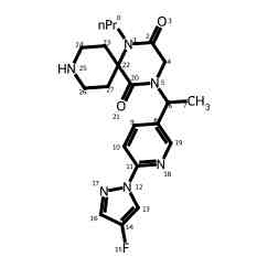 CCCN1C(=O)CN(C(C)c2ccc(-n3cc(F)cn3)nc2)C(=O)C12CCNCC2